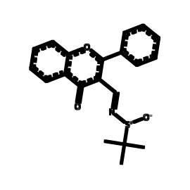 CC(C)(C)[S+]([O-])N=Cc1c(-c2ccccc2)oc2ccccc2c1=O